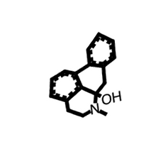 CN1CCc2cccc3c2C1(O)Cc1ccccc1-3